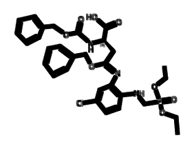 CCOP(=O)(CNc1ccc(Cl)cc1N=C(C[C@@H](NC(=O)OCc1ccccc1)C(=O)O)OCc1ccccc1)OCC